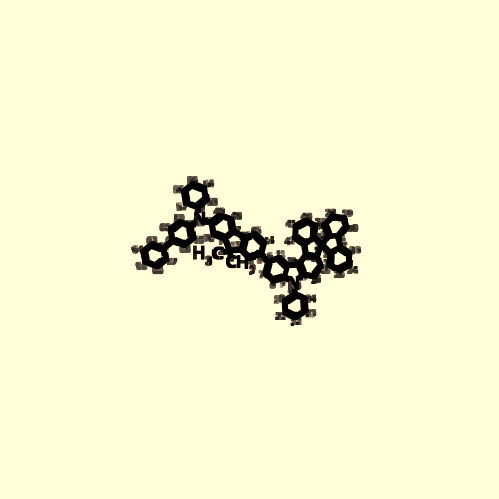 CC1(C)c2cc(-c3ccc4c(c3)c3c5c(ccc3n4-c3ccccc3)C3(c4ccccc4-c4ccccc43)c3ccccc3-5)ccc2-c2ccc(N(c3ccccc3)c3ccc(-c4ccccc4)cc3)cc21